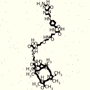 CC[C@H]1c2cc3[nH]c4c(c3C)C(=O)C(C(=O)OC)c4c3nc(cc4[nH]c(cc(n2)[C@@H]1C)c(C(C)=O)c4C)[C@@H](C)[C@@H]3CCC(=O)NCCSSC[C@H](NC(=O)CCOCCNC(=O)CC[C@H](NC(=O)c1ccc(NCc2cnc3nc(N)[nH]c(=O)c3n2)cc1)C(=O)O)C(=O)O